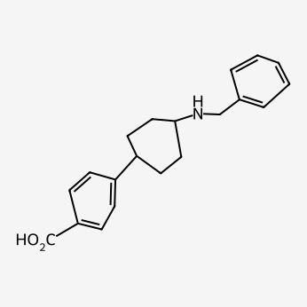 O=C(O)c1ccc(C2CCC(NCc3ccccc3)CC2)cc1